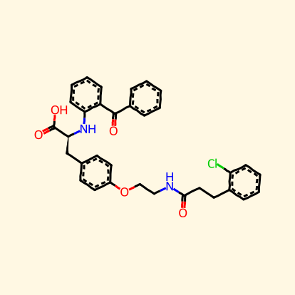 O=C(CCc1ccccc1Cl)NCCOc1ccc(C[C@H](Nc2ccccc2C(=O)c2ccccc2)C(=O)O)cc1